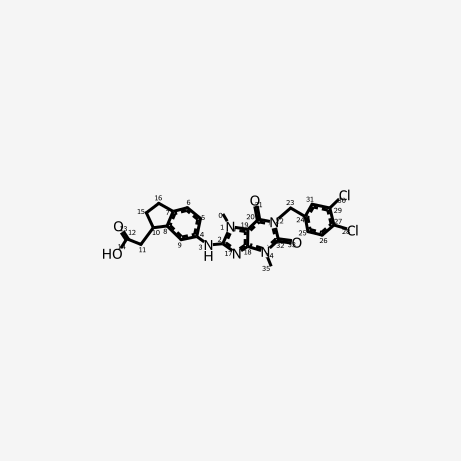 Cn1c(Nc2ccc3c(c2)C(CC(=O)O)CC3)nc2c1c(=O)n(Cc1ccc(Cl)c(Cl)c1)c(=O)n2C